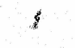 CCC(O)(c1cn(Cc2ccn3c(-c4ccc(F)nc4)ccc3c2)nn1)C(F)(F)F